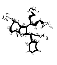 CCCC(CCC)C1C2CC(C)CCC2NC1C(CC)C1CCCCC1